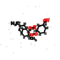 CC1CC2CC(C)C3(OOC4(CCCC(O)C4)OO3)C(C1)C2